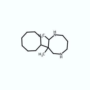 CC1NCCCNCC1(C)C1CCCCCCC1